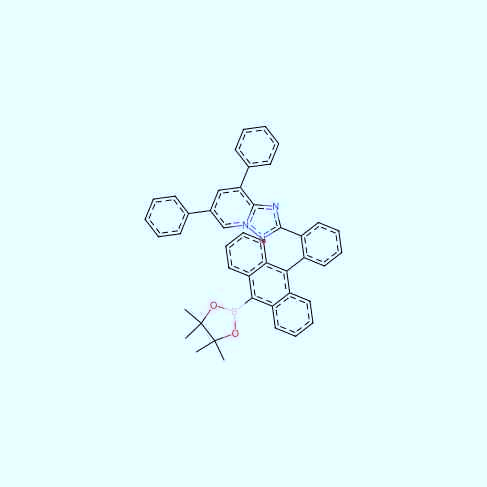 CC1(C)OB(c2c3ccccc3c(-c3ccccc3-c3nc4c(-c5ccccc5)cc(-c5ccccc5)cn4n3)c3ccccc23)OC1(C)C